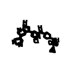 O=S(=O)(N[C@H]1CC[C@H](Nc2cc(-c3c[nH]c4ncc(-c5cncnc5)cc34)cc(Cl)n2)CC1)C1CC1